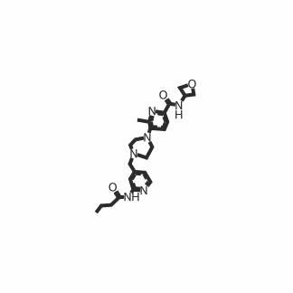 CCCC(=O)Nc1cc(CN2CCN(c3ccc(C(=O)NC4COC4)nc3C)CC2)ccn1